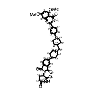 COc1cc(OC)c2c(=O)[nH]c(-c3ccc(N4CCC(CN5CCC(c6ccc7c(c6)C(=O)N(C6CCC(=O)NC6=O)C7=O)CC5)CC4)cc3)nc2c1